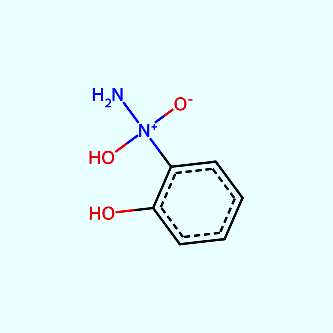 N[N+]([O-])(O)c1ccccc1O